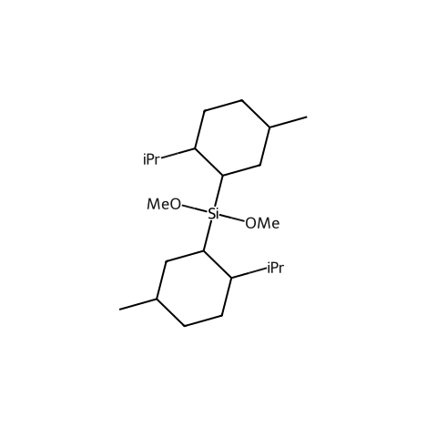 CO[Si](OC)(C1CC(C)CCC1C(C)C)C1CC(C)CCC1C(C)C